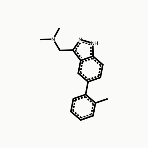 Cc1ccccc1-c1ccc2[nH]nc(CN(C)C)c2c1